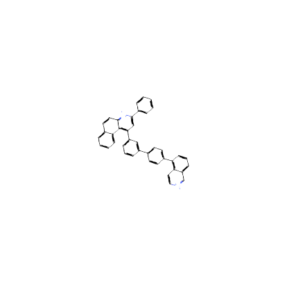 c1ccc(-c2cc(-c3cccc(-c4ccc(-c5cccc6cnccc56)cc4)c3)c3c(ccc4ccccc43)n2)cc1